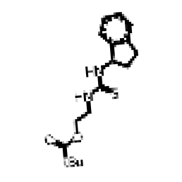 CC(C)(C)C(=O)OCCNC(=S)NC1CCc2ccccc21